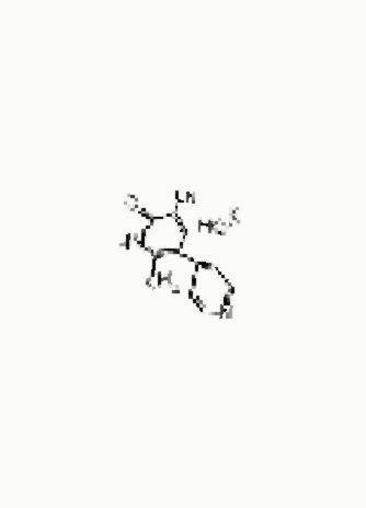 Cc1[nH]c(=O)c(C#N)cc1-c1ccncc1.[K+].[OH-]